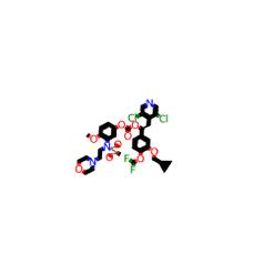 COc1ccc(OC(=O)O[C@@H](Cc2c(Cl)cncc2Cl)c2ccc(OC(F)F)c(OCC3CC3)c2)cc1N(CCN1CCOCC1)S(C)(=O)=O